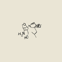 CC(C)Cc1cncc[n+]1[O-].Nc1c(CO)cc2cc1CO2